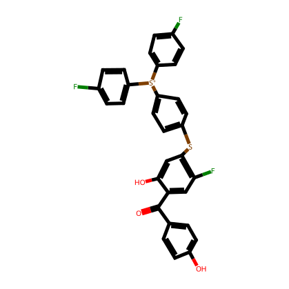 O=C(c1ccc(O)cc1)c1cc(F)c(Sc2ccc([S+](c3ccc(F)cc3)c3ccc(F)cc3)cc2)cc1O